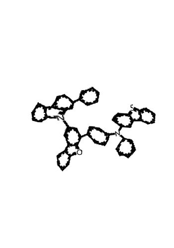 c1ccc(-c2ccc3c4ccccc4n(-c4cc(-c5ccc(N(c6ccccc6)c6ccc7sc8ccccc8c7c6)cc5)c5oc6ccccc6c5c4)c3c2)cc1